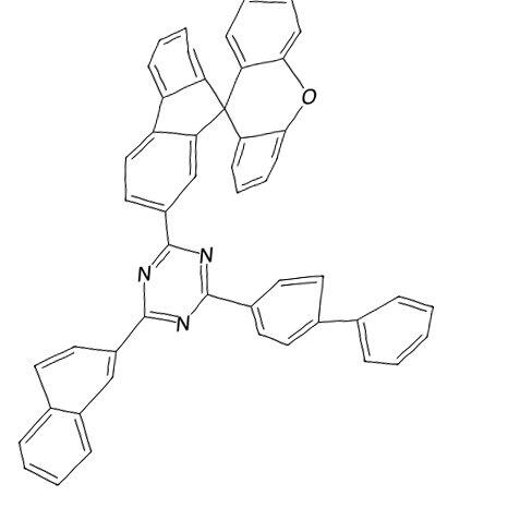 c1ccc(-c2ccc(-c3nc(-c4ccc5c(c4)C4(c6ccccc6Oc6ccccc64)c4ccccc4-5)nc(-c4ccc5ccccc5c4)n3)cc2)cc1